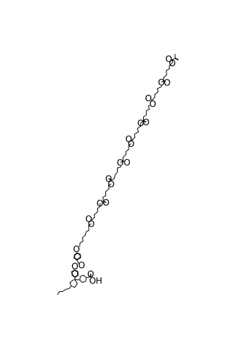 C=C(C)C(=O)OCCCCCC(=O)OCCCCCC(=O)OCCCCCC(=O)OCCCCCC(=O)OCCCCCC(=O)OCCCCCC(=O)OCCCCCC(=O)OCCCCCC(=O)OCCCCCCCCOc1ccc(C(=O)Oc2ccc(C3(C4CCC(C(=O)O)CC4)CCC(CCCCC)CC3)cc2)cc1